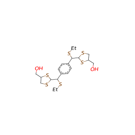 CCSC(c1ccc(C(SCC)C2SCC(CO)S2)cc1)C1SCC(CO)S1